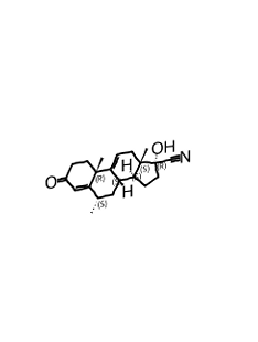 C[C@H]1C[C@@H]2C(=CC[C@@]3(C)[C@H]2CC[C@]3(O)C#N)[C@@]2(C)CCC(=O)C=C12